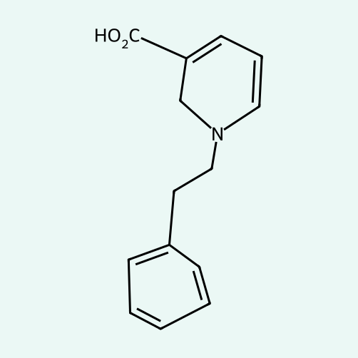 O=C(O)C1=CC=CN(CCc2ccccc2)C1